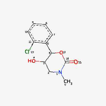 CN1CC(O)C(c2ccccc2Cl)OC1=O